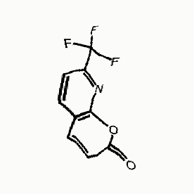 O=c1ccc2ccc(C(F)(F)F)nc2o1